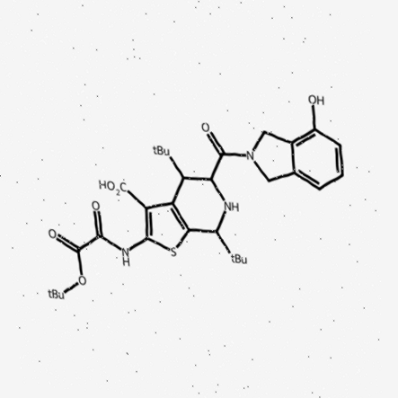 CC(C)(C)OC(=O)C(=O)Nc1sc2c(c1C(=O)O)C(C(C)(C)C)C(C(=O)N1Cc3cccc(O)c3C1)NC2C(C)(C)C